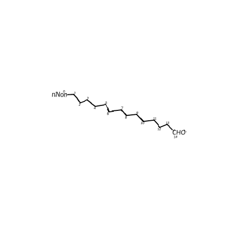 CCCCCCCCCCCCCCCCCCCCCC[C]=O